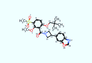 COc1c(S(C)(=O)=O)ccc(OCC(C)(C)C)c1C(=O)N1CC(c2ccc3ncoc3c2)C1